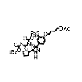 CC(=O)OCCCCOc1ccc(-c2n[nH]c(C3CCCN3C(=NC(=O)OC(C)(C)C)NC(=O)OC(C)(C)C)n2)cc1C(F)(F)F